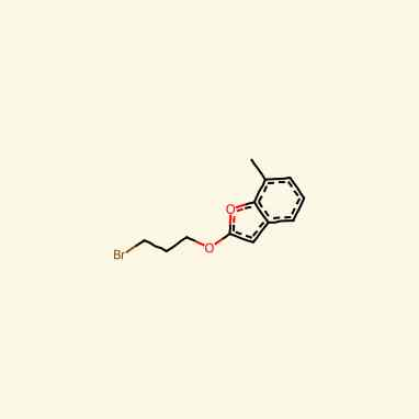 Cc1cccc2cc(OCCCBr)oc12